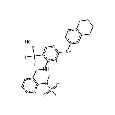 CN(c1ncccc1CNc1nc(Nc2ccc3c(c2)CCNC3)ncc1C(F)(F)F)S(C)(=O)=O.Cl